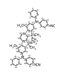 [C-]#[N+]c1ccc(N(c2ccccc2)c2cc(C)c3c(c2)C(C)(C)c2c-3ccc3c2C(C)(C)c2cc(N(c4ccccc4)c4ccc(C#N)cc4)cc(C)c2-3)cc1